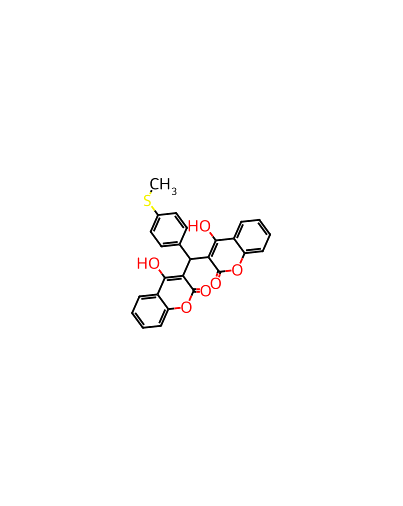 CSc1ccc(C(c2c(O)c3ccccc3oc2=O)c2c(O)c3ccccc3oc2=O)cc1